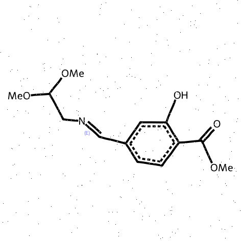 COC(=O)c1ccc(/C=N/CC(OC)OC)cc1O